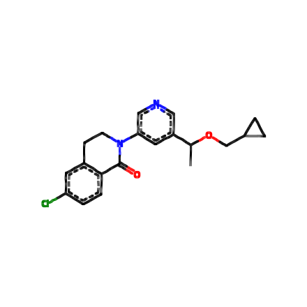 CC(OCC1CC1)c1cncc(N2CCc3cc(Cl)ccc3C2=O)c1